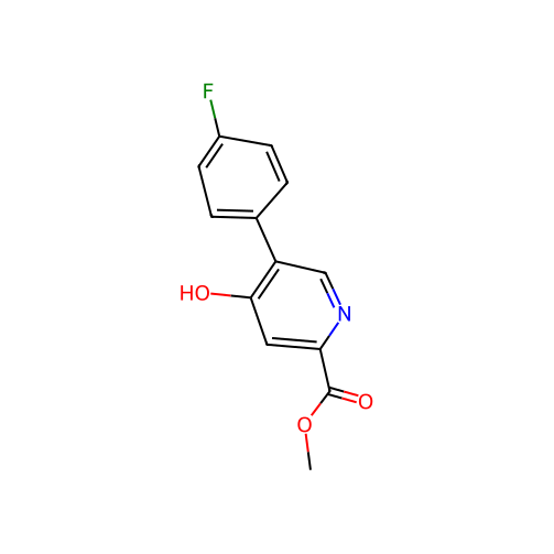 COC(=O)c1cc(O)c(-c2ccc(F)cc2)cn1